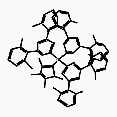 CC1=C(C)C(C)C([Si](c2cc(-c3c(C)cccc3C)cc(-c3c(C)cccc3C)c2)(c2cc(-c3c(C)cccc3C)cc(-c3c(C)cccc3C)c2)c2cc(-c3c(C)cccc3C)cc(-c3c(C)cccc3C)c2)=C1C